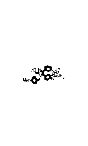 COc1ccc(Cn2c(CO)nc(-c3ccccc3)c2-c2ccc3nc(N)n(S(=O)(=O)C(C)C)c3c2)cc1